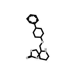 O=C1NC2(CCCNC2COC2CCC(c3ccccc3)CC2)CO1